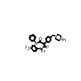 CCN1C(=O)C(c2ccc(CN3CCNCC3)cc2)C(=O)N(c2ccccc2)c2cc(C(F)(F)F)ccc21